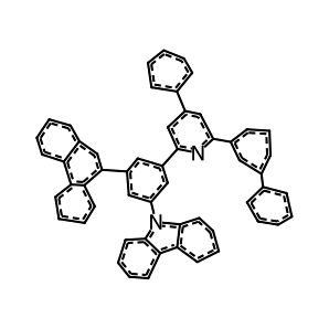 c1ccc(-c2cccc(-c3cc(-c4ccccc4)cc(-c4cc(-c5cc6ccccc6c6ccccc56)cc(-n5c6ccccc6c6ccccc65)c4)n3)c2)cc1